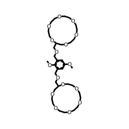 COc1cc(COCC2COCCOCCOCCOCCOCCO2)c(OC)c(COCC2COCCOCCOCCOCCOCCO2)c1